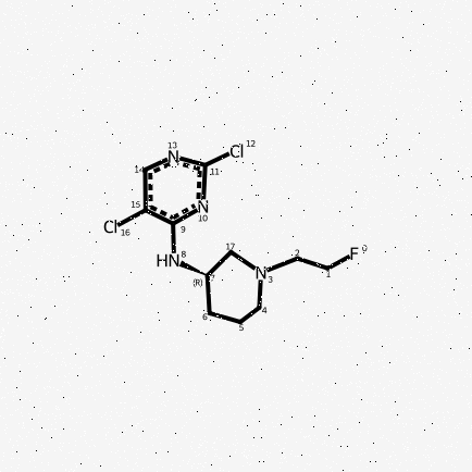 FCCN1CCC[C@@H](Nc2nc(Cl)ncc2Cl)C1